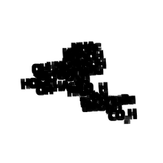 C=C(C[C@H](NC(=O)COC1OC(CO)C(O)C(O)C1NC(C)=O)C(=O)N[C@@H](COC(C)(C)C)C(=O)NCC(=O)N[C@@H](COC(C)(C)C)C(=O)NCC(=O)N[C@@H](COC(C)(C)C)C(=O)NCC(=O)O)NC1OC(CO)C(O)C(O)C1NNC(C)=O